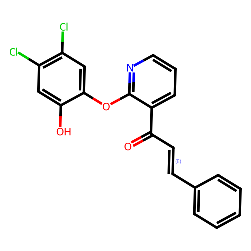 O=C(/C=C/c1ccccc1)c1cccnc1Oc1cc(Cl)c(Cl)cc1O